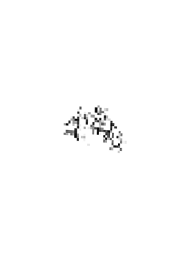 C=C(c1cc2c3c(c1)nc(-c1sc4ccccc4c1CC)n3CCO2)N1CCC[C@@H](N)C1